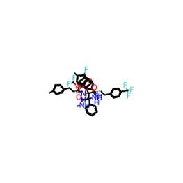 CNC(=O)[C@@](N[C@@H](CCc1ccc(C(F)(F)F)cc1)c1cccc(OC(F)F)c1)(c1ccccc1)[C@](N[C@@H](CCc1ccc(C)cc1)c1ccc(F)c(C)c1)(C(=O)NC)c1ccccc1